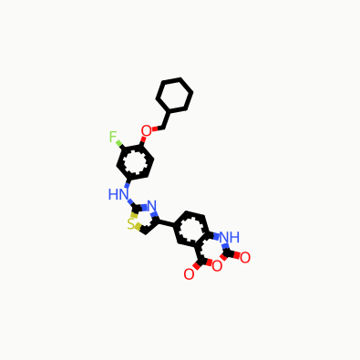 O=c1[nH]c2ccc(-c3csc(Nc4ccc(OCC5CCCCC5)c(F)c4)n3)cc2c(=O)o1